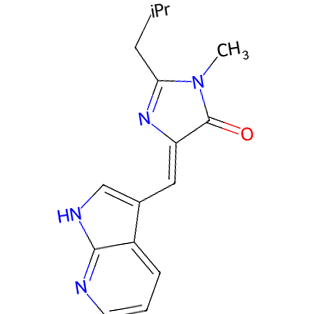 CC(C)CC1=NC(=Cc2c[nH]c3ncccc23)C(=O)N1C